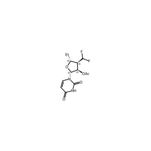 CC[C@H]1O[C@@H](n2ccc(=O)[nH]c2=O)[C@H](OC(C)=O)[C@@H]1C(F)F